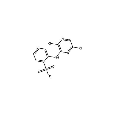 CC(C)S(=O)(=O)c1ccccc1Nc1nc(Cl)nnc1Cl